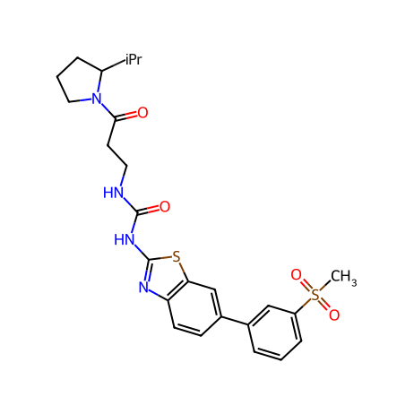 CC(C)C1CCCN1C(=O)CCNC(=O)Nc1nc2ccc(-c3cccc(S(C)(=O)=O)c3)cc2s1